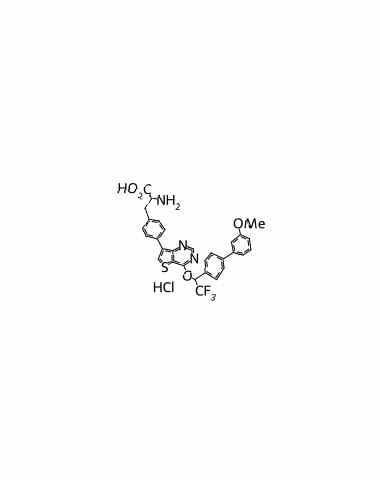 COc1cccc(-c2ccc(C(Oc3ncnc4c(-c5ccc(C[C@H](N)C(=O)O)cc5)csc34)C(F)(F)F)cc2)c1.Cl